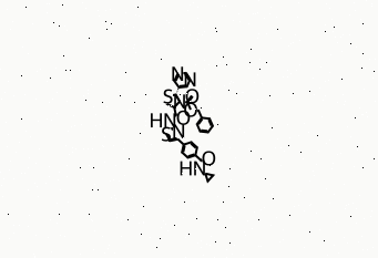 O=C(NC1CC1)c1ccc(-c2csc(NC(=O)C3CS[C@H](c4cncnc4)N3C(=O)OCc3ccccc3)n2)cc1